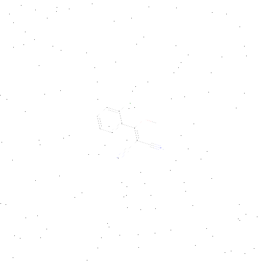 COC(=C(C#N)C#N)c1ccccc1Br